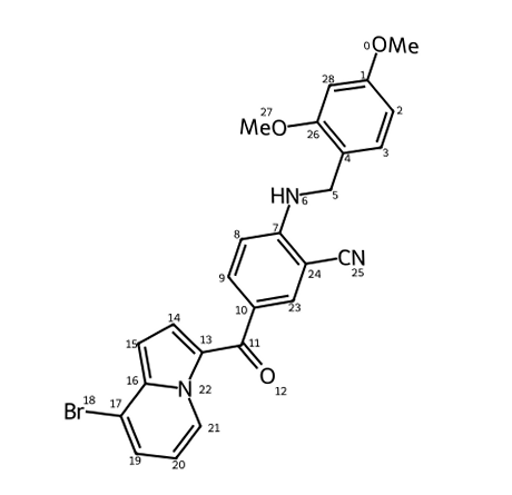 COc1ccc(CNc2ccc(C(=O)c3ccc4c(Br)cccn34)cc2C#N)c(OC)c1